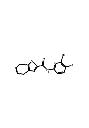 O=C(Nc1ccc(F)c(Br)n1)c1cc2c(s1)CCCC2